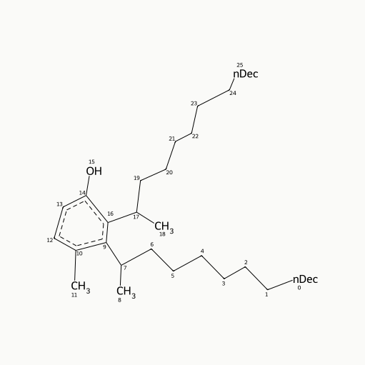 CCCCCCCCCCCCCCCCC(C)c1c(C)ccc(O)c1C(C)CCCCCCCCCCCCCCCC